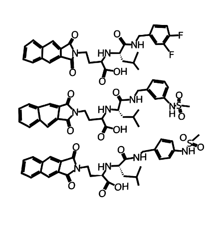 CC(C)C[C@H](NC(CCN1C(=O)c2cc3ccccc3cc2C1=O)C(=O)O)C(=O)NCc1ccc(F)c(F)c1.CC(C)C[C@H](NC(CCN1C(=O)c2cc3ccccc3cc2C1=O)C(=O)O)C(=O)NCc1cccc(NS(C)(=O)=O)c1.CC(C)C[C@H](N[C@H](CCN1C(=O)c2cc3ccccc3cc2C1=O)C(=O)O)C(=O)NCc1ccc(NS(C)(=O)=O)cc1